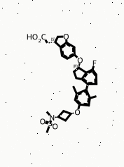 Cc1cc(O[C@H]2C[C@@H](N(C)S(C)(=O)=O)C2)cc(C)c1-c1ccc(F)c2c1CC[C@H]2Oc1ccc2c(c1)OC[C@H]2CC(=O)O